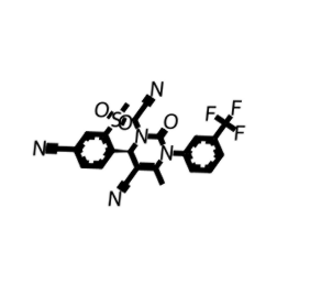 CC1=C(C#N)[C@@H](c2ccc(C#N)cc2S(C)(=O)=O)N(CC#N)C(=O)N1c1cccc(C(F)(F)F)c1